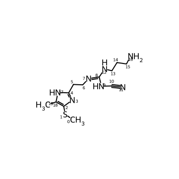 CSc1nc(CCN=C(NC#N)NCCCN)[nH]c1C